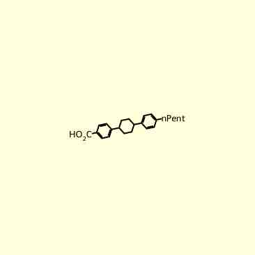 CCCCCc1ccc(C2CCC(c3ccc(C(=O)O)cc3)CC2)cc1